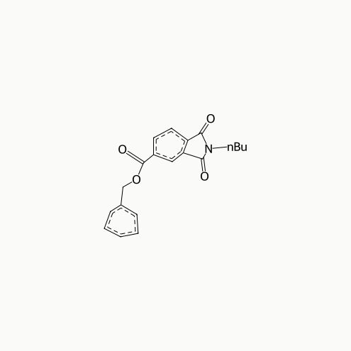 CCCCN1C(=O)c2ccc(C(=O)OCc3ccccc3)cc2C1=O